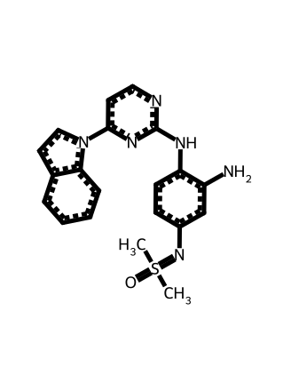 CS(C)(=O)=Nc1ccc(Nc2nccc(-n3ccc4ccccc43)n2)c(N)c1